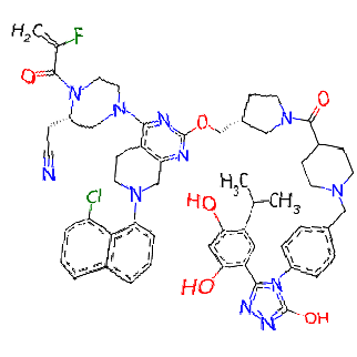 C=C(F)C(=O)N1CCN(c2nc(OC[C@@H]3CCN(C(=O)C4CCN(Cc5ccc(-n6c(O)nnc6-c6cc(C(C)C)c(O)cc6O)cc5)CC4)C3)nc3c2CCN(c2cccc4cccc(Cl)c24)C3)C[C@@H]1CC#N